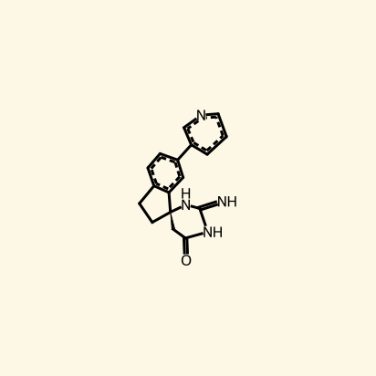 N=C1NC(=O)C[C@]2(CCc3ccc(-c4cccnc4)cc32)N1